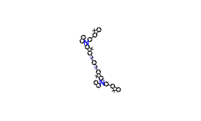 CC1(C)c2ccccc2-c2ccc(-c3ccc(N(c4ccc5c(c4)C(C)(C)c4cc(/C=C/c6ccc(/C=C/c7ccc8c(c7)C(C)(C)c7cc(N(c9ccc(-c%10ccc%11c(c%10)C(C)(C)c%10ccccc%10-%11)cc9)c9cccc%10ccccc9%10)ccc7-8)cc6)ccc4-5)c4cccc5ccccc45)cc3)cc21